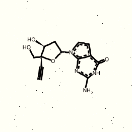 C#C[C@]1(CO)OC(n2ccc3c(=O)[nH]c(N)nc32)C[C@@H]1O